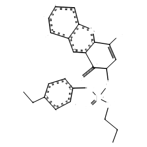 CCCSP(=O)(Oc1ccc(CC)cc1)OC1C=C(Br)c2nc3ccccc3cc2C1=O